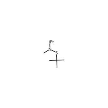 CC(C)N(C)SC(C)(C)C